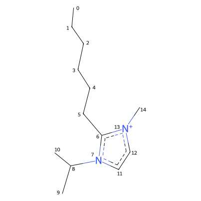 CCCCCCc1n(C(C)C)cc[n+]1C